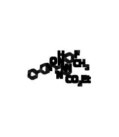 CCOC(=O)c1cnn2c(Nc3ccc(F)c(C)c3)c(C(=O)N3CCC(c4ccccc4)CC3)cnc12